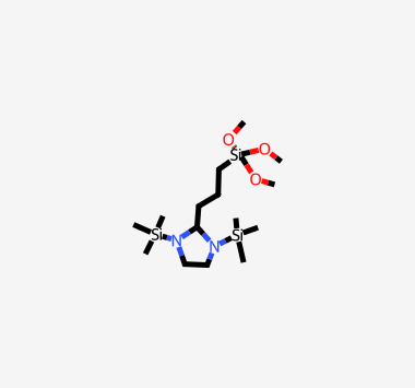 CO[Si](CCCC1N([Si](C)(C)C)CCN1[Si](C)(C)C)(OC)OC